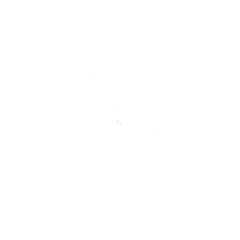 O=C(O)CCC(=O)N[C@H](CS)CCO